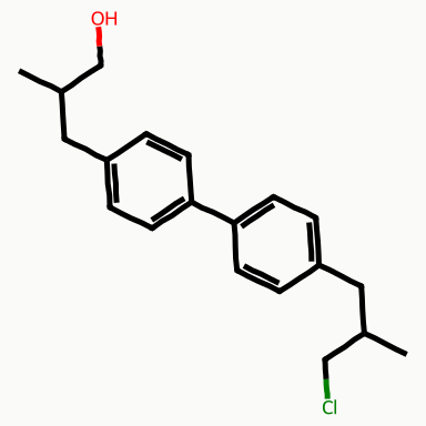 CC(CO)Cc1ccc(-c2ccc(CC(C)CCl)cc2)cc1